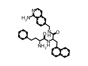 Nc1nccc2cc(CNC(=O)C(Cc3cccc4ccccc34)NC(=O)[C@@H](N)CCc3ccccc3)ccc12